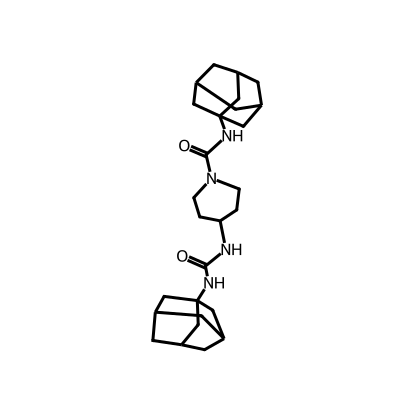 O=C(NC1CCN(C(=O)NC23CC4CC(CC(C4)C2)C3)CC1)NC12CC3CC(CC(C3)C1)C2